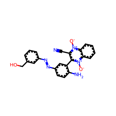 N#Cc1c(-c2cc(N=Nc3cccc(CO)c3)ccc2N)[n+]([O-])c2ccccc2[n+]1[O-]